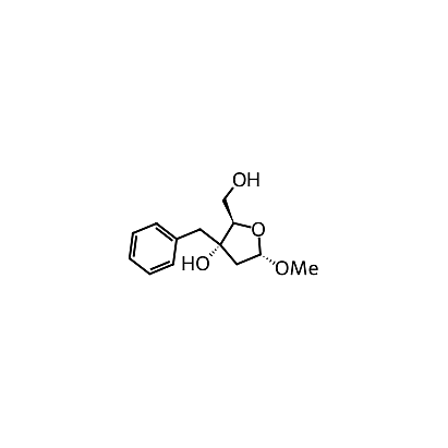 CO[C@@H]1C[C@@](O)(Cc2ccccc2)[C@@H](CO)O1